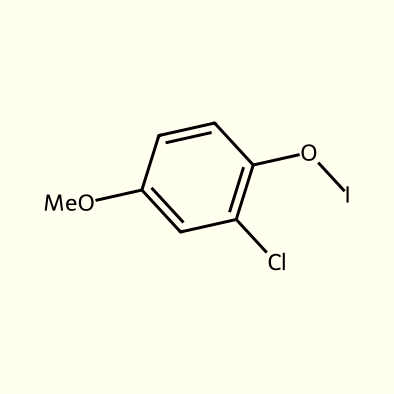 COc1ccc(OI)c(Cl)c1